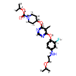 Cc1c(Oc2ccc(NCCOC(C)C)cc2F)ncnc1OC1CCN(C(=O)OC(C)C)CC1